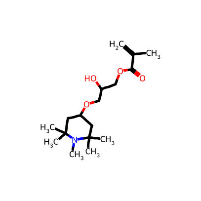 C=C(C)C(=O)OCC(O)COC1CC(C)(C)N(C)C(C)(C)C1